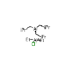 CC(C)[CH2][Al]([CH2]C(C)C)[CH2]C(C)C.C[CH2][Al+][CH2]C.[Cl-]